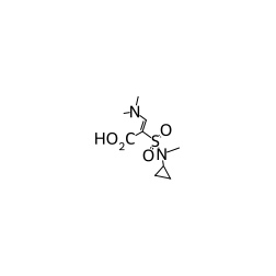 CN(C)C=C(C(=O)O)S(=O)(=O)N(C)C1CC1